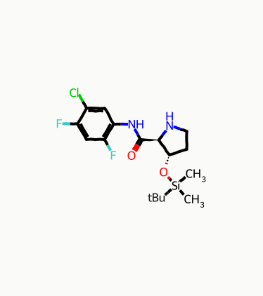 CC(C)(C)[Si](C)(C)O[C@H]1CCN[C@@H]1C(=O)Nc1cc(Cl)c(F)cc1F